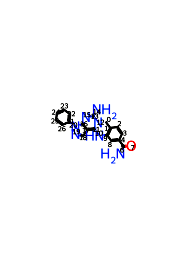 Cc1ccc(C(N)=O)cc1Nc1nc(N)nc2c1cnn2-c1ccccc1